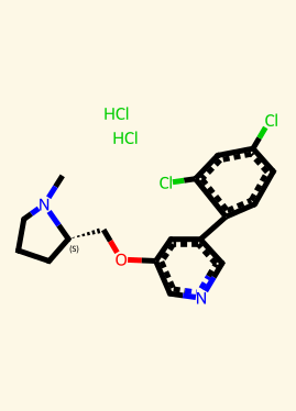 CN1CCC[C@H]1COc1cncc(-c2ccc(Cl)cc2Cl)c1.Cl.Cl